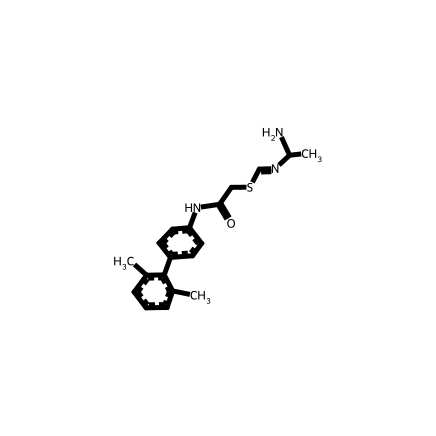 Cc1cccc(C)c1-c1ccc(NC(=O)CS/C=N/C(C)N)cc1